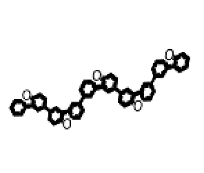 c1ccc2c(c1)oc1ccc(-c3ccc4oc5ccc(-c6ccc7oc8ccc(-c9ccc%10oc%11ccc(-c%12ccc%13oc%14ccccc%14c%13c%12)cc%11c%10c9)cc8c7c6)cc5c4c3)cc12